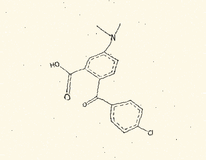 CN(C)c1ccc(C(=O)c2ccc(Cl)cc2)c(C(=O)O)c1